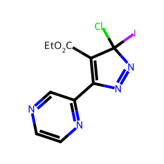 CCOC(=O)C1=C(c2cnccn2)N=NC1(Cl)I